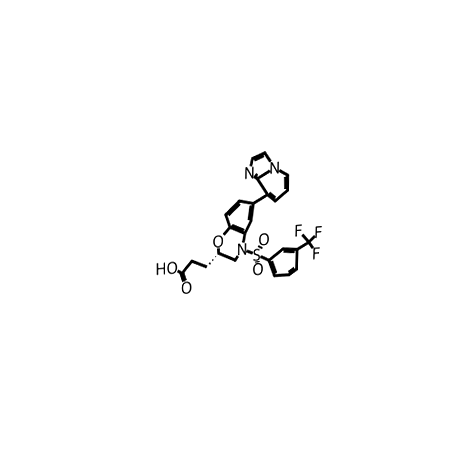 O=C(O)CC[C@H]1CN(S(=O)(=O)c2cccc(C(F)(F)F)c2)c2cc(-c3cccn4ccnc34)ccc2O1